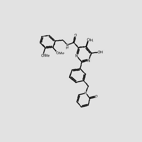 COc1cccc(CNC(=O)c2nc(-c3cccc(Cn4ccccc4=O)c3)nc(O)c2O)c1OC